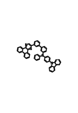 c1ccc(N(c2ccc(-n3c4ccccc4c4ccccc43)cc2)c2cccc(-c3cccc(-c4cnc5c6ccccc6c6ccccc6c5n4)c3)c2)cc1